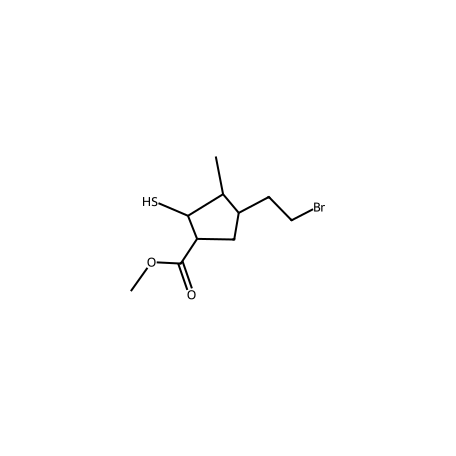 COC(=O)C1CC(CCBr)C(C)C1S